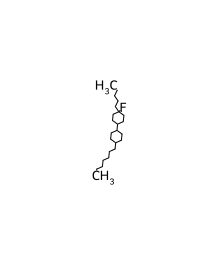 CCCCCCCC1CCC(C2CCC(F)(CCCCC)CC2)CC1